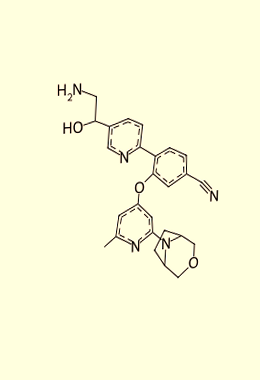 Cc1cc(Oc2cc(C#N)ccc2-c2ccc(C(O)CN)cn2)cc(N2C3CCC2COC3)n1